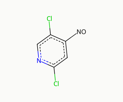 O=Nc1cc(Cl)ncc1Cl